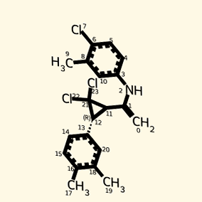 C=C(Nc1ccc(Cl)c(C)c1)C1[C@H](c2ccc(C)c(C)c2)C1(Cl)Cl